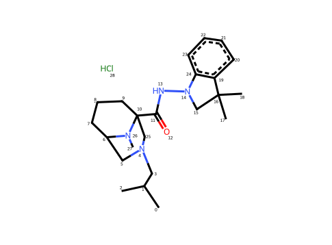 CC(C)CN1CC2C[CH]CC(C(=O)NN3CC(C)(C)c4ccccc43)(C1)N2C.Cl